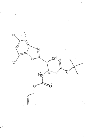 C=CCOC(=O)N[C@@H](CC(=O)OC(C)(C)C)C(O)c1nc2cc(Cl)cc(Cl)c2o1